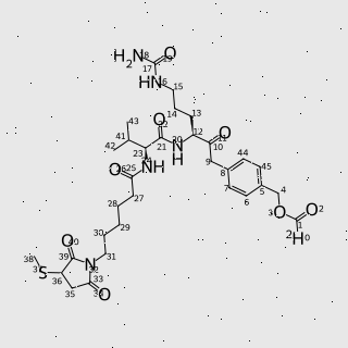 [2H]C(=O)OCc1ccc(CC(=O)[C@H](CCCNC(N)=O)NC(=O)[C@@H](NC(=O)CCCCCN2C(=O)CC(SC)C2=O)C(C)C)cc1